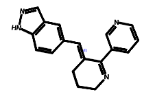 C(=C1/CCCN=C1c1cccnc1)/c1ccc2[nH]ncc2c1